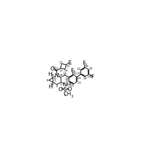 CS(=O)(=O)N[C@H]1C[C@@H]2C[C@@H]2N(C(=O)C2CC(F)C2)[C@H]1Cc1cccc(-c2cc(F)cc(F)c2)c1F